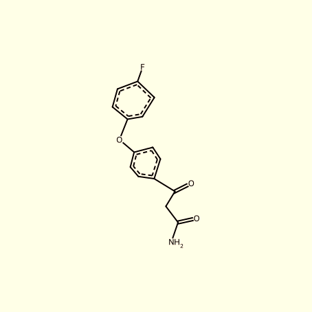 NC(=O)CC(=O)c1ccc(Oc2ccc(F)cc2)cc1